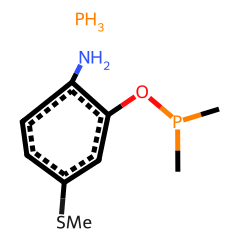 CSc1ccc(N)c(OP(C)C)c1.P